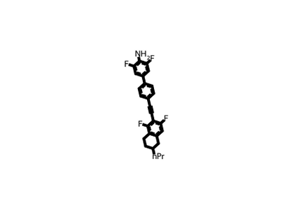 CCCC1CCc2c(cc(F)c(C#Cc3ccc(-c4cc(F)c(N)c(F)c4)cc3)c2F)C1